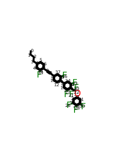 CCCCc1ccc(C#Cc2ccc(-c3cc(F)c(C(F)(F)Oc4cc(F)c(F)c(F)c4)c(F)c3)c(F)c2)c(F)c1